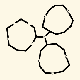 C1CCCCCC(N(C2CCCCCCCCCC2)C2CCCCCCCCCC2)CCCC1